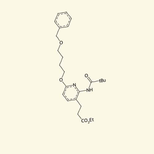 CCOC(=O)CCc1ccc(OCCCCOCc2ccccc2)nc1NC(=O)C(C)(C)C